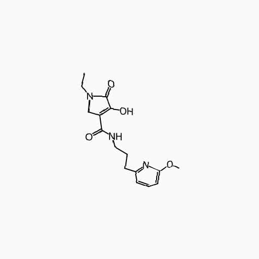 CCN1CC(C(=O)NCCCc2cccc(OC)n2)=C(O)C1=O